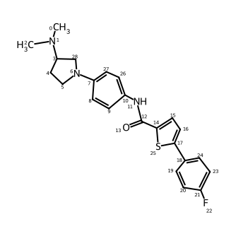 CN(C)C1CCN(c2ccc(NC(=O)c3ccc(-c4ccc(F)cc4)s3)cc2)C1